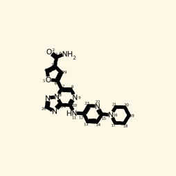 NC(=O)c1coc(-c2cnc(Nc3ccc(N4CCCCC4)nc3)c3ncnn23)c1